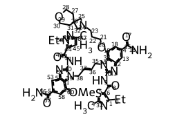 CCc1nc(C)sc1C(=O)Nc1nc2cc(C(N)=O)cc(OCCCN3CC4(CCOCC4)C3)c2n1C/C=C/Cn1c(NC(=O)c2cc(C)nn2CC)nc2cc(C(N)=O)cc(OC)c21